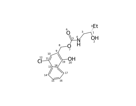 CC[C@H](O)CNC(=O)OCc1cc(Cl)c2ccccc2c1O